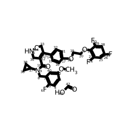 COc1ccc(F)c(CN(C(=O)C2=C(c3ccc(OCCOc4c(F)cc(F)cc4F)cc3)CCNC2)C2CC2)c1.O=CO